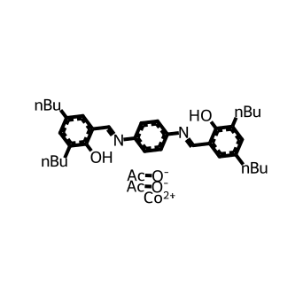 CC(=O)[O-].CC(=O)[O-].CCCCc1cc(C=Nc2ccc(N=Cc3cc(CCCC)cc(CCCC)c3O)cc2)c(O)c(CCCC)c1.[Co+2]